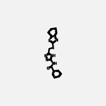 O=C(Nc1nnc(CSc2nc3ccccc3s2)[nH]1)c1ccccc1